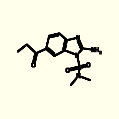 CCC(=O)c1ccc2nc(N)n(S(=O)(=O)N(C)C)c2c1